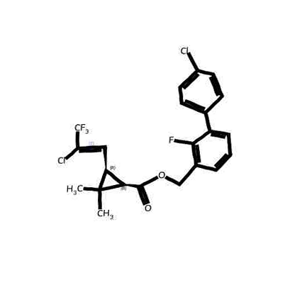 CC1(C)[C@H](C(=O)OCc2cccc(-c3ccc(Cl)cc3)c2F)[C@@H]1/C=C(\Cl)C(F)(F)F